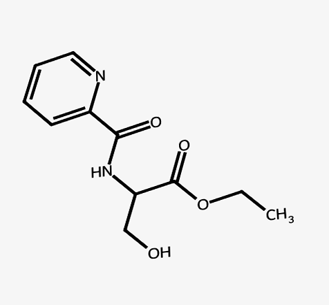 CCOC(=O)C(CO)NC(=O)c1ccccn1